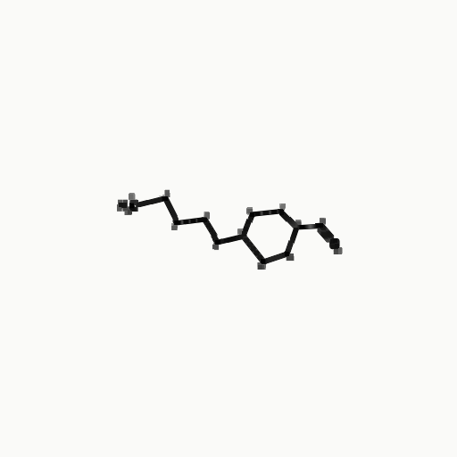 CCCCCC1CCC(C=O)CC1